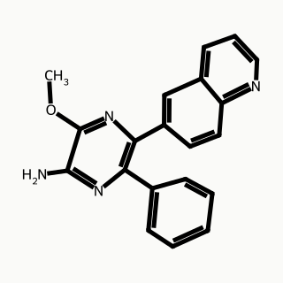 COc1nc(-c2ccc3ncccc3c2)c(-c2ccccc2)nc1N